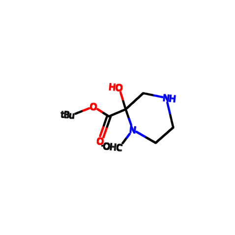 CC(C)(C)OC(=O)C1(O)CNCCN1[C]=O